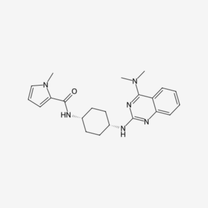 CN(C)c1nc(N[C@H]2CC[C@@H](NC(=O)c3cccn3C)CC2)nc2ccccc12